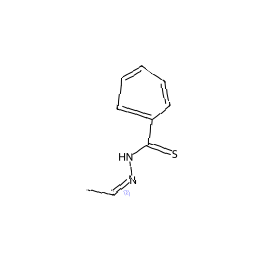 C/C=N\NC(=S)c1ccccc1